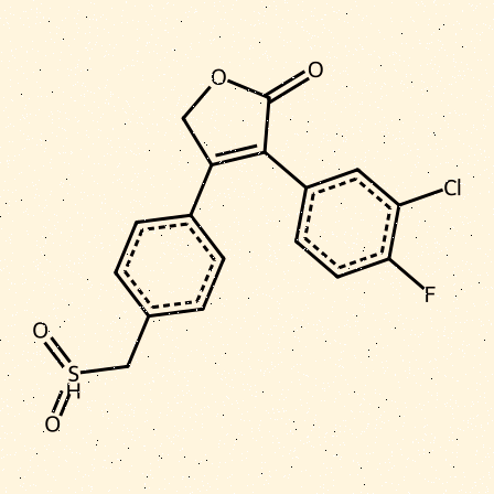 O=C1OCC(c2ccc(C[SH](=O)=O)cc2)=C1c1ccc(F)c(Cl)c1